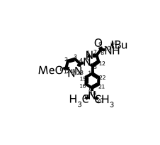 COc1ccc(-n2nc(C(=O)NC(C)(C)C)cc2-c2ccc(N(C)C)cc2)nn1